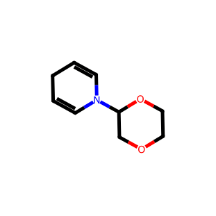 C1=CN(C2COCCO2)C=CC1